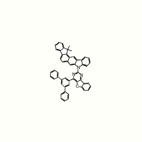 CC1(C)c2ccccc2-c2ccc3cc4c(cc3c21)c1ccccc1n4-c1nc(-c2cc(-c3ccccc3)cc(-c3ccccc3)c2)c2oc3ccccc3c2n1